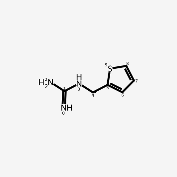 N=C(N)N[CH]c1cccs1